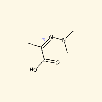 C/C(=N/N(C)C)C(=O)O